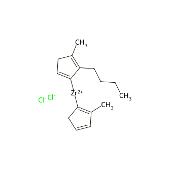 CCCCC1=C(C)CC=[C]1[Zr+2][C]1=C(C)C=CC1.[Cl-].[Cl-]